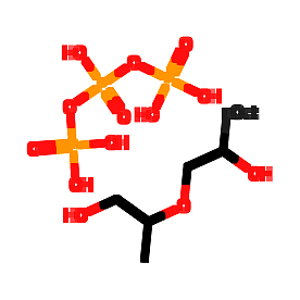 CCCCCCCCC(O)COC(C)CO.O=P(O)(O)OP(=O)(O)OP(=O)(O)O